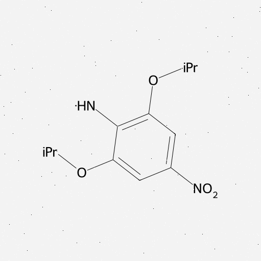 CC(C)Oc1cc([N+](=O)[O-])cc(OC(C)C)c1[NH]